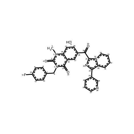 Cl.Cn1c(=O)n(Cc2ccc(F)cc2)c(=O)c2cc(C(=O)c3nc(-c4cccnc4)c4ccccn34)ccc21